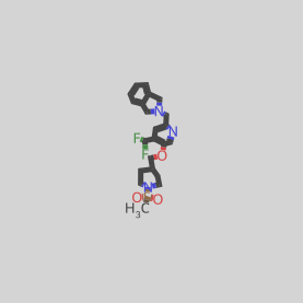 CS(=O)(=O)N1CCC(COc2cnc(CN3Cc4ccccc4C3)cc2C(F)F)CC1